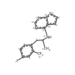 CC(Cc1ccc(F)cc1C(F)(F)F)Nc1ncnc2sccc12